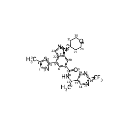 Cc1cnc(-c2cc(C(=O)NC(C)c3cnc(C(F)(F)F)nc3)cc3c2cnn3C2CCOCC2)s1